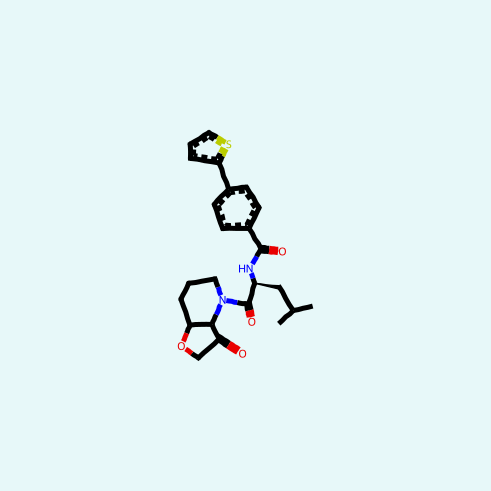 CC(C)C[C@H](NC(=O)c1ccc(-c2cccs2)cc1)C(=O)N1CCCC2OCC(=O)C21